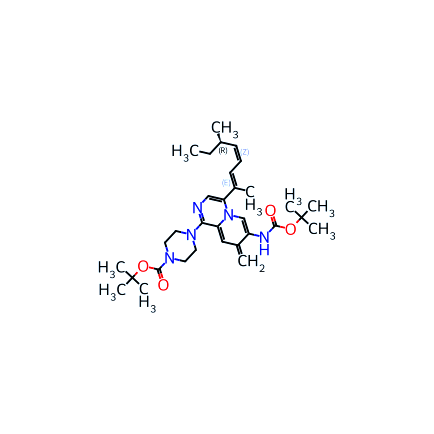 C=C1C=C2C(N3CCN(C(=O)OC(C)(C)C)CC3)=NC=C(/C(C)=C/C=C\[C@H](C)CC)N2C=C1NC(=O)OC(C)(C)C